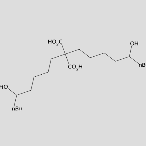 CCCCC(O)CCCCC(CCCCC(O)CCCC)(C(=O)O)C(=O)O